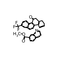 COC(=O)c1ccc2cccnc2c1.O=C1CC2=C(C=CCC2)c2ccc3cc(C(F)(F)F)ccc3c21